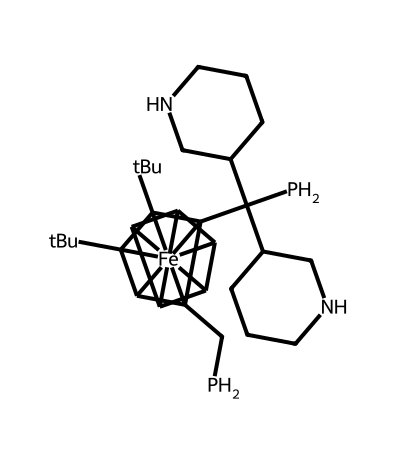 CC(C)(C)[C]12[CH]3[C]4(CP)[C]5(C(P)(C6CCCNC6)C6CCCNC6)[C]1(C(C)(C)C)[Fe]34251678[CH]2[CH]1[CH]6[CH]7[CH]28